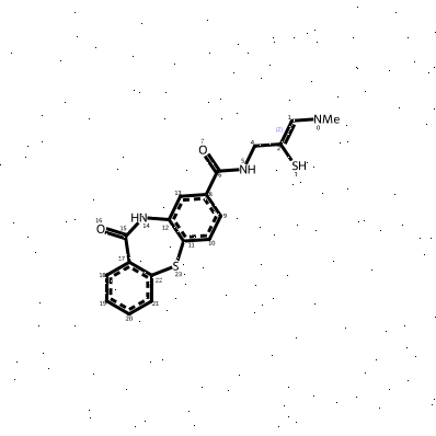 CN/C=C(\S)CNC(=O)c1ccc2c(c1)NC(=O)c1ccccc1S2